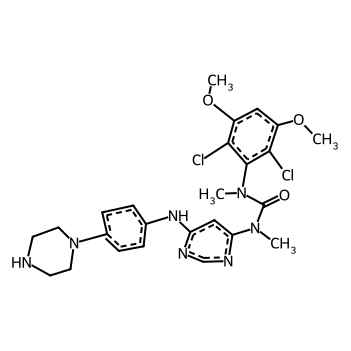 COc1cc(OC)c(Cl)c(N(C)C(=O)N(C)c2cc(Nc3ccc(N4CCNCC4)cc3)ncn2)c1Cl